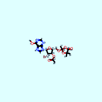 COc1ncnc2c1ncn2[C@@H]1O[C@H](COC2(C)OC(=O)C(C)(C)O2)[C@@H](OC(C)=O)[C@@H]1Br